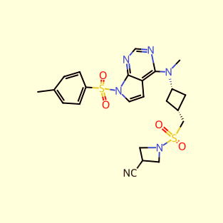 Cc1ccc(S(=O)(=O)n2ccc3c(N(C)[C@H]4C[C@@H](CS(=O)(=O)N5CC(C#N)C5)C4)ncnc32)cc1